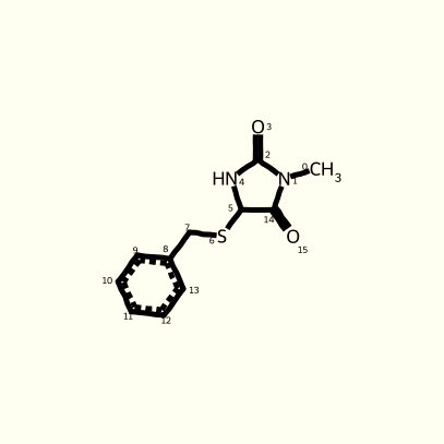 CN1C(=O)NC(SCc2ccccc2)C1=O